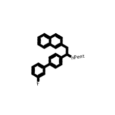 CCCCCC(Cc1ccc2ccccc2c1)c1ccc(-c2cccc(F)c2)cc1